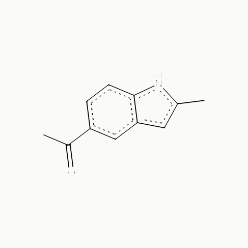 CC(=O)c1ccc2[nH]c(C)cc2c1